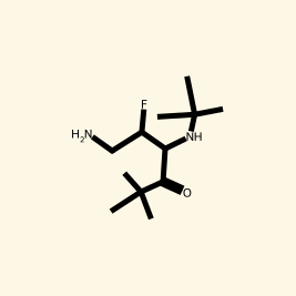 CC(C)(C)NC(C(=O)C(C)(C)C)C(F)CN